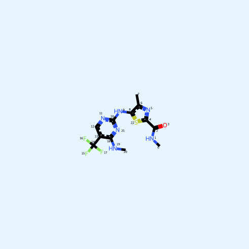 CNC(=O)c1nc(C)c(Nc2ncc(C(F)(F)F)c(NC)n2)s1